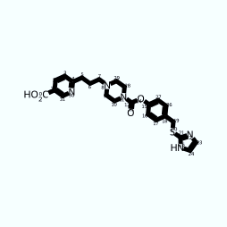 O=C(O)c1ccc(CCCN2CCN(C(=O)Oc3ccc(CSc4ncc[nH]4)cc3)CC2)nc1